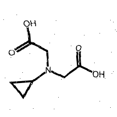 O=C(O)CN(CC(=O)O)C1CC1